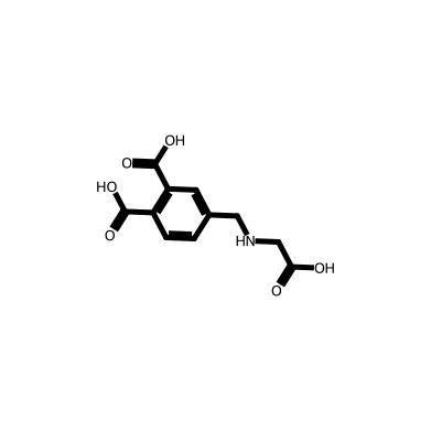 O=C(O)CNCc1ccc(C(=O)O)c(C(=O)O)c1